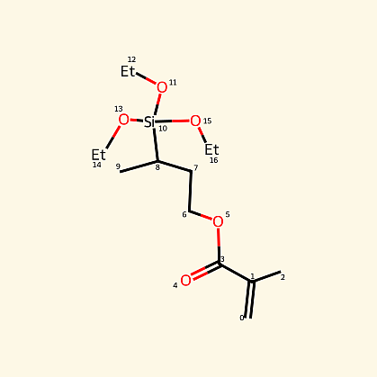 C=C(C)C(=O)OCCC(C)[Si](OCC)(OCC)OCC